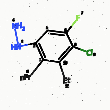 CCCc1c(NN)cc(F)c(Cl)c1CC